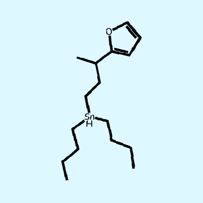 CCC[CH2][SnH]([CH2]CCC)[CH2]CC(C)c1ccco1